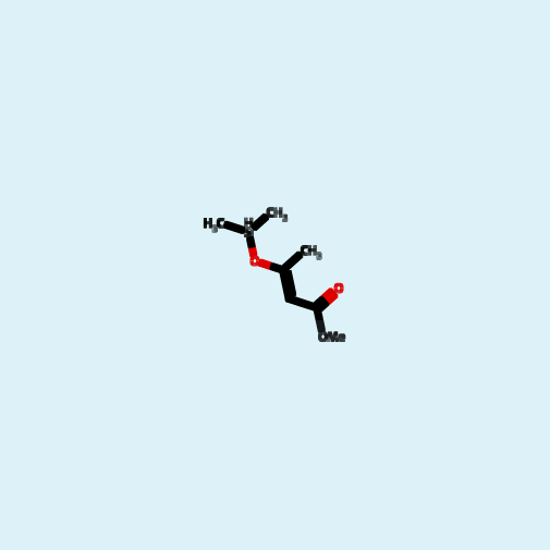 COC(=O)/C=C(\C)O[SiH](C)C